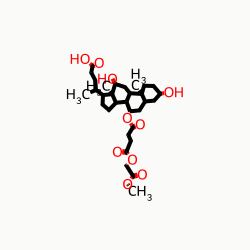 COC(=O)COC(=O)CCC(=O)OC1CC2CC(O)CCC2(C)C2CC(O)C3(C)C(C(C)CCC(=O)O)CCC3C12